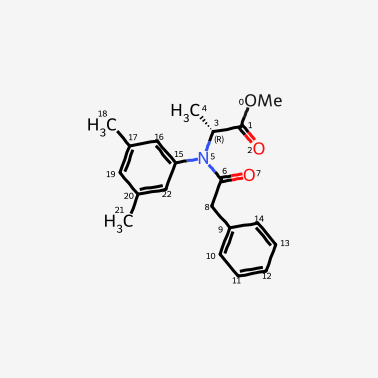 COC(=O)[C@@H](C)N(C(=O)Cc1ccccc1)c1cc(C)cc(C)c1